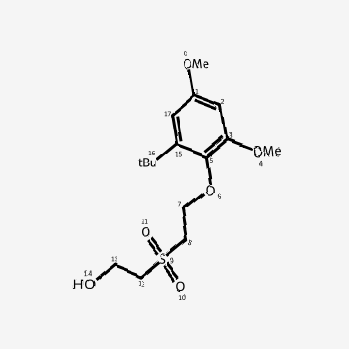 COc1cc(OC)c(OCCS(=O)(=O)CCO)c(C(C)(C)C)c1